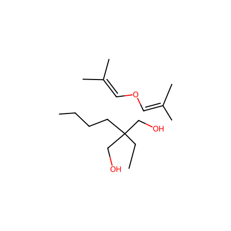 CC(C)=COC=C(C)C.CCCCC(CC)(CO)CO